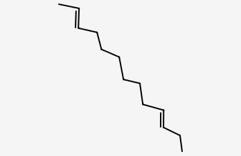 CC=CCCCCCCC=CCC